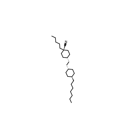 CCCCCCC[C@H]1CC[C@H](CC[C@H]2CC[C@@](C#N)(CCCCC)CC2)CC1